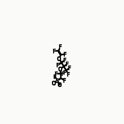 O=S(=O)(F)C(F)C(F)(F)OC(F)(C(F)(F)F)C(F)(F)OC(F)=C(F)F